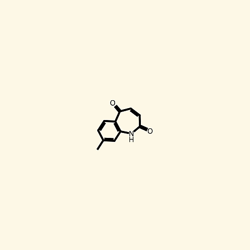 Cc1ccc2c(=O)ccc(=O)[nH]c2c1